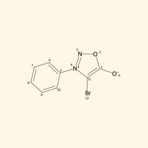 [O-]c1on[n+](-c2ccccc2)c1Br